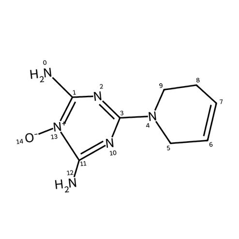 Nc1nc(N2CC=CCC2)nc(N)[n+]1[O-]